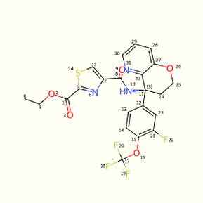 CCOC(=O)c1nc(C(=O)N[C@]2(c3ccc(OC(F)(F)F)c(F)c3)CCOc3cccnc32)cs1